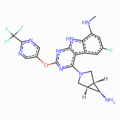 CNc1cc(F)cc2c1[nH]c1nc(Oc3cnc(C(F)(F)F)nc3)nc(N3C[C@@H]4[C@@H](N)[C@@H]4C3)c12